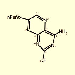 CCCCCc1cnc2c(N)nc(Cl)nc2c1